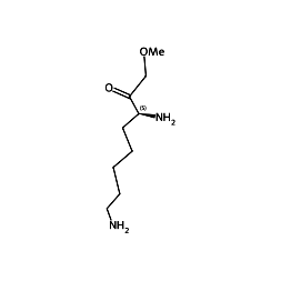 COCC(=O)[C@@H](N)CCCCCN